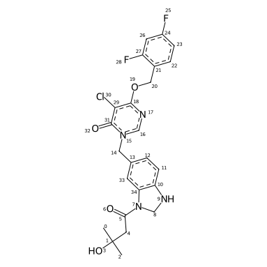 CC(C)(O)CC(=O)N1CNc2ccc(Cn3cnc(OCc4ccc(F)cc4F)c(Cl)c3=O)cc21